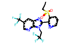 CCS(=O)(=O)c1cccnc1-c1nc2cc(C(F)(F)F)cnc2n1CC(F)(F)F